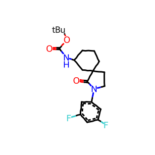 CC(C)(C)OC(=O)NC1CCCC2(CCN(c3cc(F)cc(F)c3)C2=O)C1